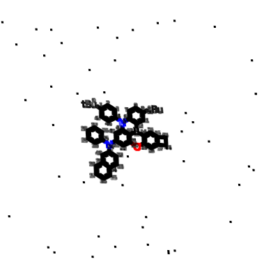 CC(C)(C)c1ccc(N2c3ccc(C(C)(C)C)cc3B3c4cc5c(cc4Oc4cc(N(c6ccccc6)c6ccc7ccccc7c6)cc2c43)CC5)cc1